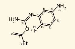 C=C(CC)O/C(N)=N\c1cc(N)ccc1F